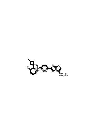 CCOC(=O)c1csc2nc(-c3ccc(NC[C@]4(C5N=CC=CC5F)C[C@H](C)C4)nn3)cn12